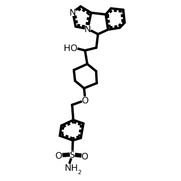 NS(=O)(=O)c1ccc(COC2CCC(C(O)CC3c4ccccc4-c4cncn43)CC2)cc1